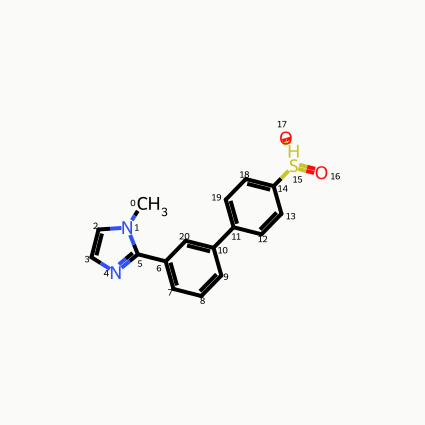 Cn1ccnc1-c1cccc(-c2ccc([SH](=O)=O)cc2)c1